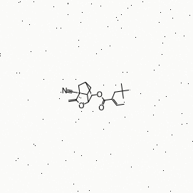 C=C1OC2C(OC(=O)/C(=C/C)CC(C)(C)C)C3CC2C1(C#N)C3